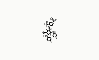 Cc1ccc(Nc2nc(Nc3ccc(C)cc3)c(N=Nc3ccc([N+](=O)[O-])cc3C(F)(F)F)c(C)c2C#N)cc1